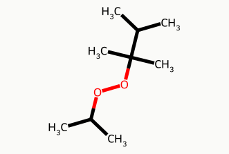 CC(C)OOC(C)(C)C(C)C